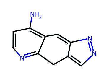 Nc1ccnc2c1C=C1N=NC=C1C2